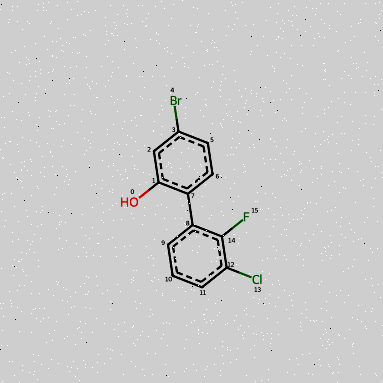 Oc1cc(Br)ccc1-c1cccc(Cl)c1F